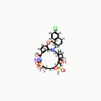 C[C@@H]1[C@@H](C)CCC[C@@](O)(CS(C)(=O)=O)[C@@H]2CC[C@H]2CN2C[C@@]3(CCCc4cc(Cl)ccc43)COc3ccc(cc32)C(=O)NS1(=O)=O